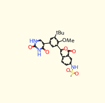 COc1c(-c2cc3ccc(NS(C)(=O)=O)cc3c(=O)o2)cc(-c2c[nH]c(=O)[nH]c2=O)cc1C(C)(C)C